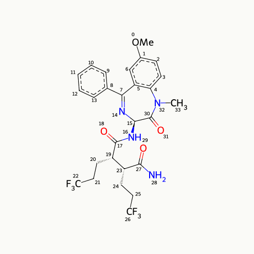 COc1ccc2c(c1)C(c1ccccc1)=N[C@H](NC(=O)[C@@H](CCC(F)(F)F)[C@@H](CCC(F)(F)F)C(N)=O)C(=O)N2C